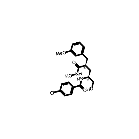 COc1cccc(C[C@@H](C[C@@H](CO)NC(=O)c2ccc(Cl)cc2)C(=O)NO)c1